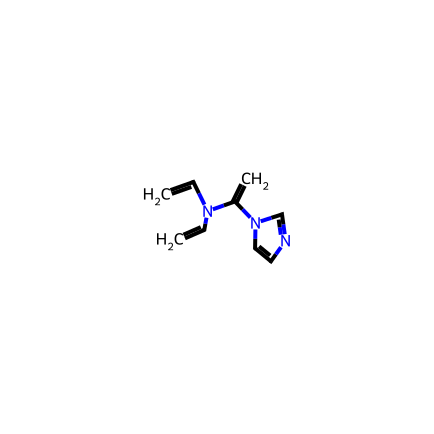 C=CN(C=C)C(=C)n1ccnc1